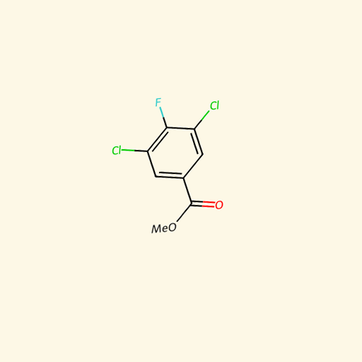 COC(=O)c1cc(Cl)c(F)c(Cl)c1